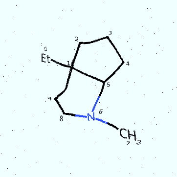 CCC12CCCC1N(C)CC2